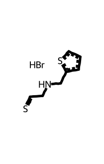 Br.S=CCNCc1cccs1